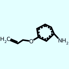 C=CCOc1cccc(N)c1